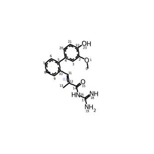 COc1cc(-c2ccccc2/C=C(\C)C(=O)NC(=N)N)ccc1O